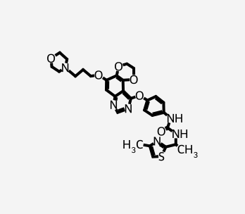 Cc1csc(C(C)NC(=O)Nc2ccc(Oc3ncnc4cc(OCCCN5CCOCC5)c5c(c34)OCCO5)cc2)n1